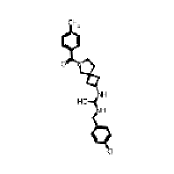 Cc1ccc(C(=O)N2CC[C@]3(C2)C[C@H](NC(O)NCc2ccc(Cl)cc2)C3)cc1